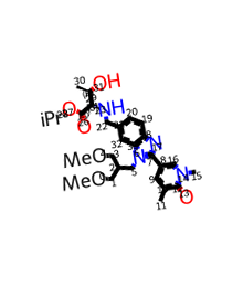 COCC(COC)Cn1c(-c2cc(C)c(=O)n(C)c2)nc2ccc(CN[C@H](C(=O)OC(C)C)[C@@H](C)O)cc21